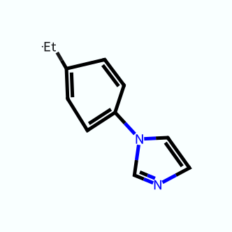 C[CH]c1ccc(-n2ccnc2)cc1